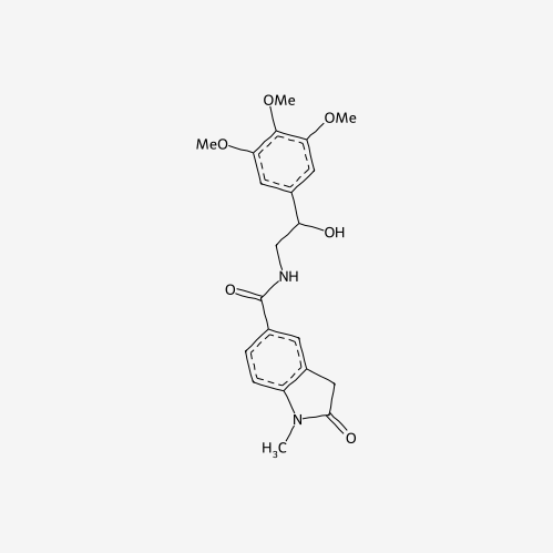 COc1cc(C(O)CNC(=O)c2ccc3c(c2)CC(=O)N3C)cc(OC)c1OC